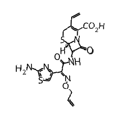 C=CCON=C(C(=O)NC1C(=O)N2C(C(=O)O)=C(C=C)CS[C@@H]12)c1csc(N)n1